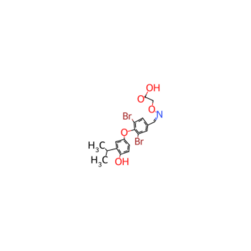 CC(C)c1cc(Oc2c(Br)cc(/C=N\OCC(=O)O)cc2Br)ccc1O